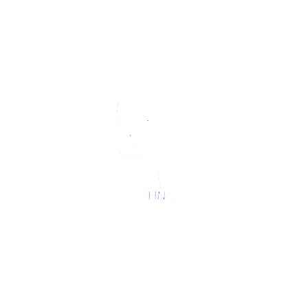 CCC1(C(C)(C)C)CC1CNC